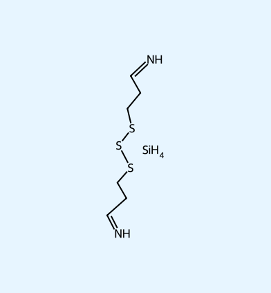 N=CCCSSSCCC=N.[SiH4]